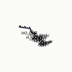 CC(=O)N[C@H]1C(O)[C@H](O[C@@H]2OC(CO)[C@H](O)C(O)[C@@H]2NC(=O)CN=[N+]=[N-])C(CO)O[C@H]1OC1[C@@H](OP(=O)(O)OC[C@@H](OC/C=C(/C)CC/C=C(\C)CCC=C(C)C)C(=O)O)OC(C(N)=O)[C@H](O)[C@@H]1O